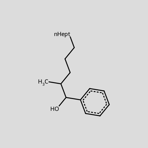 CCCCCCCCCCC(C)C(O)c1ccccc1